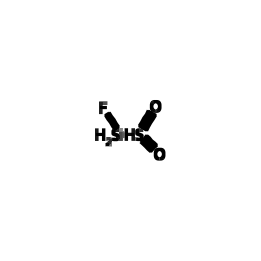 O=[SH](=O)[SiH2]F